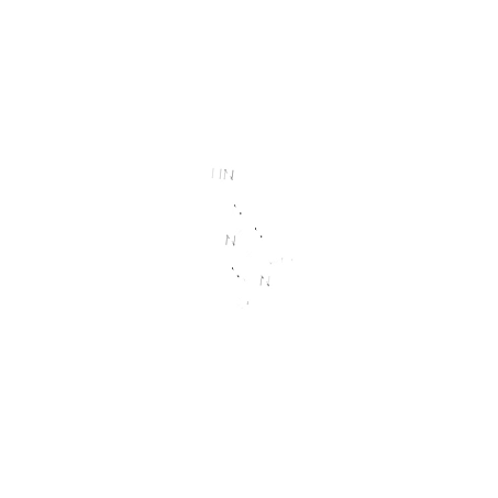 CCOc1nc2nc(N3CCNCC3)n(CC)c2c(=O)n1C